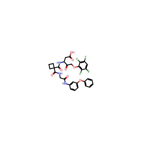 O=C(O)CC(NC(=O)C1(C(=O)NCC(=O)Nc2cccc(Oc3ccccc3)c2)CCC1)C(=O)COc1c(F)c(F)cc(F)c1F